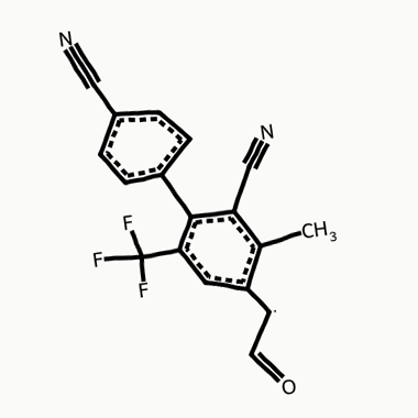 Cc1c([CH]C=O)cc(C(F)(F)F)c(-c2ccc(C#N)cc2)c1C#N